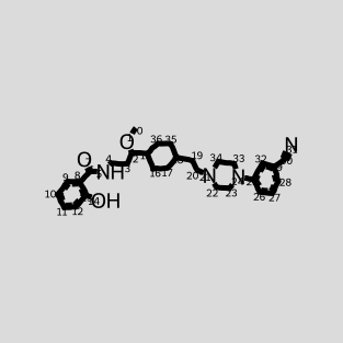 COC(CCNC(=O)c1ccccc1O)C1CCC(CCN2CCN(c3cccc(C#N)c3)CC2)CC1